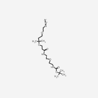 CC(C)(C)OC(=O)NCCOCCNC(=O)CCOC(C)(C)CCOCCN=[N+]=[N-]